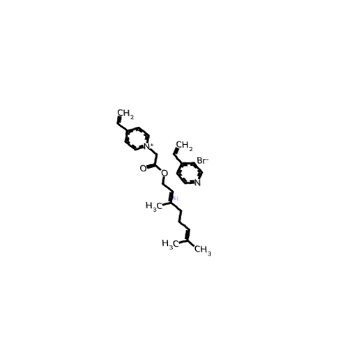 C=Cc1cc[n+](CC(=O)OC/C=C(\C)CCC=C(C)C)cc1.C=Cc1ccncc1.[Br-]